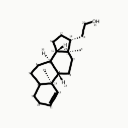 C[C@]12CC[C@H]3[C@@H](CCC4CCC=C[C@@]43C)[C@@H]1CC[C@@H]2CCO